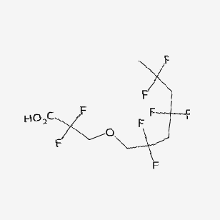 CC(F)(F)CC(F)(F)CC(F)(F)COCC(F)(F)C(=O)O